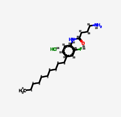 CCCCCCCCCCc1ccc(NC(=O)CCCN)c(F)c1.Cl